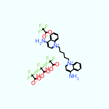 Nc1cc[n+](CCCCC[n+]2ccc(N)c3ccccc32)c2ccccc12.O=C(O)C(F)(F)F.O=C(O)C(F)(F)F.O=C([O-])C(F)(F)F.O=C([O-])C(F)(F)F